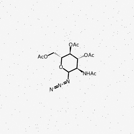 CC(=O)N[C@H]1C(N=[N+]=[N-])O[C@H](COC(C)=O)[C@@H](OC(C)=O)[C@@H]1OC(C)=O